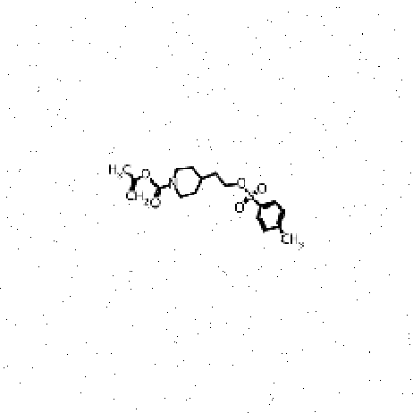 C=C(C)OC(=O)N1CCC(CCOS(=O)(=O)c2ccc(C)cc2)CC1